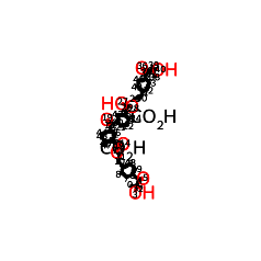 CC(C)(O)C(=O)c1ccc(CCOC(=O)c2cc(C(=O)c3ccc(C(=O)O)c(C(O)OCCc4ccc(C(=O)C(C)(C)O)cc4)c3)ccc2C(=O)O)cc1